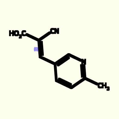 Cc1ccc(/C=C(\C#N)C(=O)O)cn1